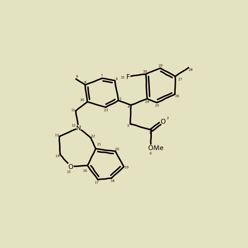 COC(=O)CC(c1ccc(C)c(CN2CCOc3ccccc3C2)c1)c1ccc(C)cc1F